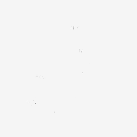 CC(=O)Oc1c(C=Cc2cccc(C)n2)cccc1[N+](=O)[O-]